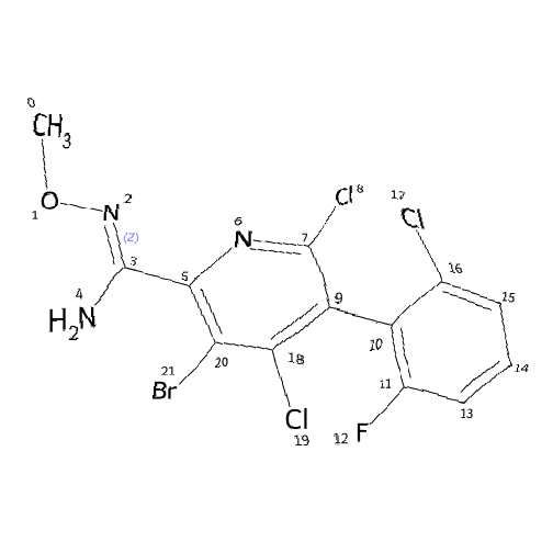 CO/N=C(\N)c1nc(Cl)c(-c2c(F)cccc2Cl)c(Cl)c1Br